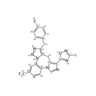 Cc1noc(-c2ncn3c2Cc2c(Cc4ccc(F)cc4)nnn2-c2cc(C(F)(F)F)ccc2-3)n1